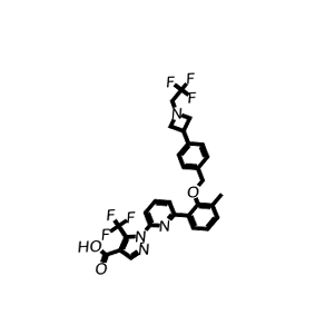 Cc1cccc(-c2cccc(-n3ncc(C(=O)O)c3C(F)(F)F)n2)c1OCc1ccc(C2CN(CC(F)(F)F)C2)cc1